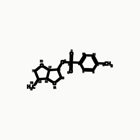 Cc1ccc(S(=O)(=O)OC2COC3C(C)COC23)cc1